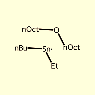 CCCCCCCCOCCCCCCCC.CCC[CH2][Sn][CH2]C